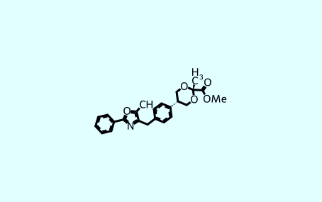 COC(=O)[C@]1(C)OC[C@H](c2ccc(Cc3nc(-c4ccccc4)oc3C)cc2)CO1